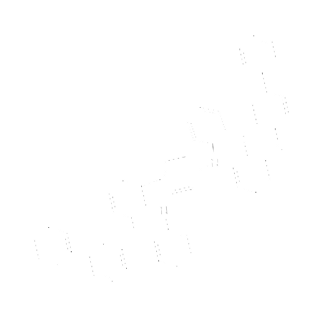 c1ccc(-c2ccc3c(c2)B2c4c(cccc4-n4c5cc6c(cc5c5cccc2c54)c2cccc4c2n6-c2cccc5c2B4c2cc(-c4ccccc4)ccc2S5)S3)cc1